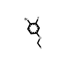 Fc1cc(OCI)ccc1Br